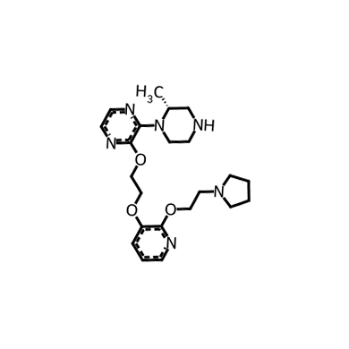 C[C@@H]1CNCCN1c1nccnc1OCCOc1cccnc1OCCN1CCCC1